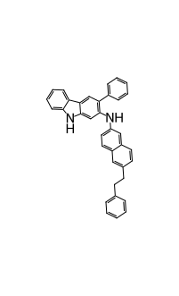 c1ccc(CCc2ccc3cc(Nc4cc5[nH]c6ccccc6c5cc4-c4ccccc4)ccc3c2)cc1